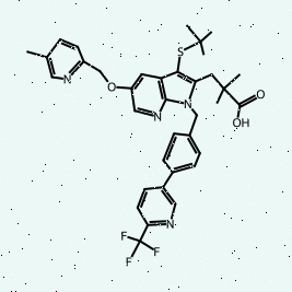 Cc1ccc(COc2cnc3c(c2)c(SC(C)(C)C)c(CC(C)(C)C(=O)O)n3Cc2ccc(-c3ccc(C(F)(F)F)nc3)cc2)nc1